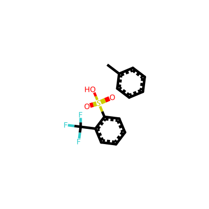 Cc1ccccc1.O=S(=O)(O)c1ccccc1C(F)(F)F